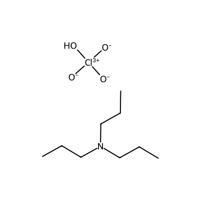 CCCN(CCC)CCC.[O-][Cl+3]([O-])([O-])O